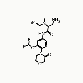 CC(C)CN(C)[C@@H](CN)C(=O)Nc1ccc(N2CCOCC2=O)c(OC(F)F)c1